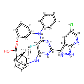 O=C(O)[C@H]1C2CCC(CC2)[C@@H]1Nc1nc(-c2n[nH]c3ncc(Cl)cc23)nc(N(c2ccccc2)c2ccccc2)c1F